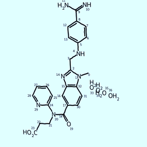 Cn1c(CNc2ccc(C(=N)N)cc2)nc2cc(C(=O)N(CCC(=O)O)c3ccccn3)ccc21.O.O.O.O